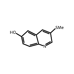 CSc1cnc2ccc(O)cc2c1